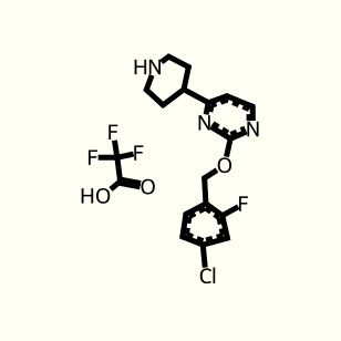 Fc1cc(Cl)ccc1COc1nccc(C2CCNCC2)n1.O=C(O)C(F)(F)F